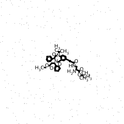 CCOC(=O)CC(c1ccccc1)N1C(=O)c2cc(C#CC(=O)NCC(N)C(=O)OC(C)(C)C)ccc2N(C(C)C)C(=O)C1c1ccccc1